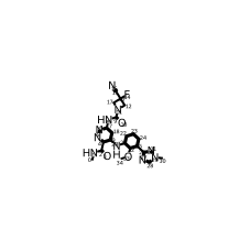 CNC(=O)c1nnc(NC(=O)N2CC(F)(C#N)C2)cc1Nc1cccc(-c2ncn(C)n2)c1OC